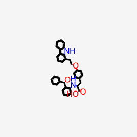 O=C(c1ccccc1)c1ccccc1NC(Cc1ccc(OCCc2cccc3c2[nH]c2ccccc23)cc1)C(=O)O